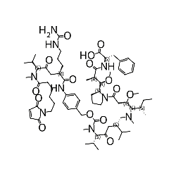 CC[C@H](C)[C@@H]([C@@H](CC(=O)N1CCC[C@H]1[C@H](OC)[C@@H](C)C(=O)N[C@@H](Cc1ccccc1)C(=O)O)OC)N(C)C[C@@H](CC(=O)[C@H](C(C)C)N(C)C(=O)OCc1ccc(NC(=O)[C@H](CCCNC(N)=O)CC(=O)[C@H](C(C)C)N(C)C(=O)CCCCCN2C(=O)C=CC2=O)cc1)C(C)C